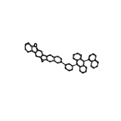 c1cc(-c2ccc3cc4c(cc3c2)sc2cc3c(cc24)oc2ccccc23)cc(-c2c3ccccc3c(-c3cccc4ccccc34)c3ccccc23)c1